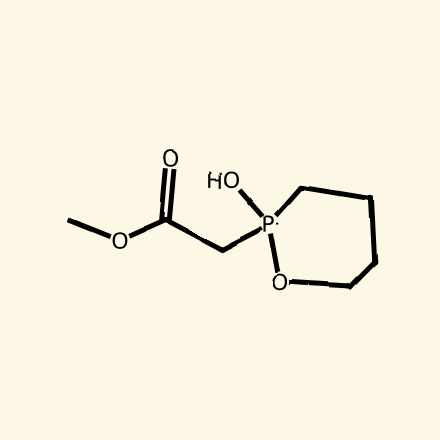 COC(=O)C[P]1(O)CCCCO1